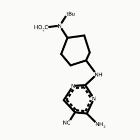 CC(C)(C)N(C(=O)O)C1CCC(Nc2ncc(C#N)c(N)n2)CC1